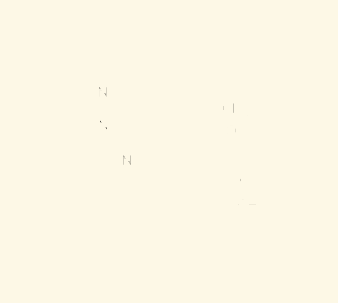 COc1cc2c(cc1OC)CN(Cn1ccnc1)CC2